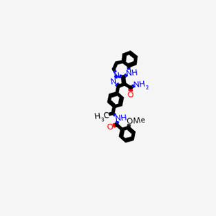 COc1ccccc1C(=O)NC(C)c1ccc(-c2nn3c(c2C(N)=O)Nc2ccccc2CC3)cc1